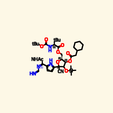 CC(=O)N/C(=N/C=N)c1ccc([C@]2(C#N)O[C@H](COC(=O)[C@@H](NC(=O)OC(C)(C)C)C(C)(C)C)[C@@H](OC(=O)CC3CCCCC3)C2O[Si](C)(C)C)[nH]1